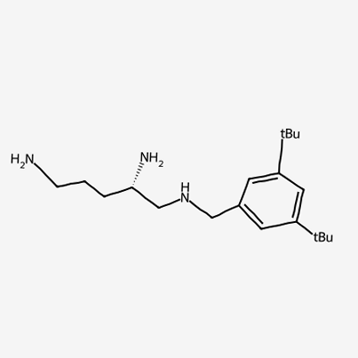 CC(C)(C)c1cc(CNC[C@@H](N)CCCN)cc(C(C)(C)C)c1